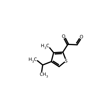 Cc1c(C(C)C)csc1C(=O)C=O